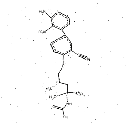 C[C@H](COc1ccc(-c2ccnc(N)c2N)cc1C#N)CC(C)(C)NC(=O)O